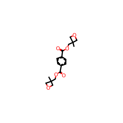 CC1(COC(=O)c2ccc(C(=O)OCC3(C)COC3)cc2)COC1